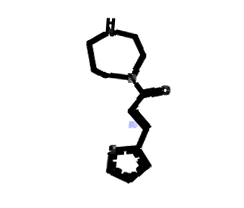 O=C(/C=C/c1cccs1)N1CCCNCC1